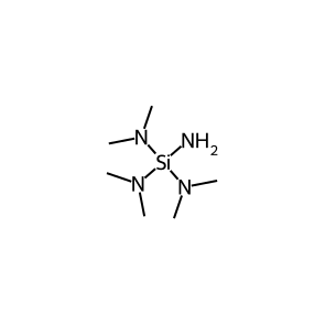 CN(C)[Si](N)(N(C)C)N(C)C